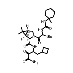 CC1(NC(=O)NC(C(=O)N2C[C@H]3[C@@H]([C@H]2C(=O)NC(CC2CCC2)C(=O)C(N)=O)C3(C)C)C(C)(C)C)CCCCC1